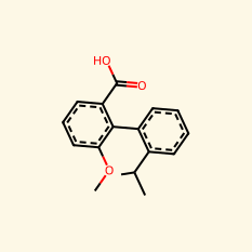 COc1cccc(C(=O)O)c1-c1ccccc1C(C)C